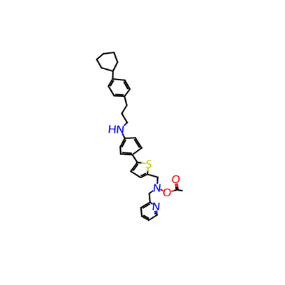 CC(=O)ON(Cc1ccccn1)Cc1ccc(-c2ccc(NCCCc3ccc(C4CCCCC4)cc3)cc2)s1